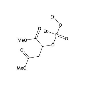 CCOP(=O)(CC)OC(CC(=O)OC)C(=O)OC